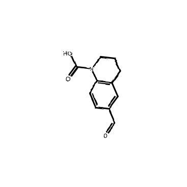 O=Cc1ccc2c(c1)CCCN2C(=O)O